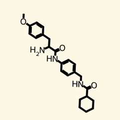 COc1ccc(CC(N)C(=O)Nc2ccc(CNC(=O)C3CCCCC3)cc2)cc1